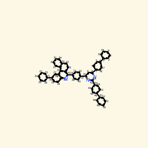 c1ccc(-c2ccc(-c3cc(-c4ccc(-c5nc6ccc(-c7ccccc7)cc6c6c5ccc5ccccc56)cc4)nc(-c4ccc(-c5ccccc5)cc4)n3)cc2)cc1